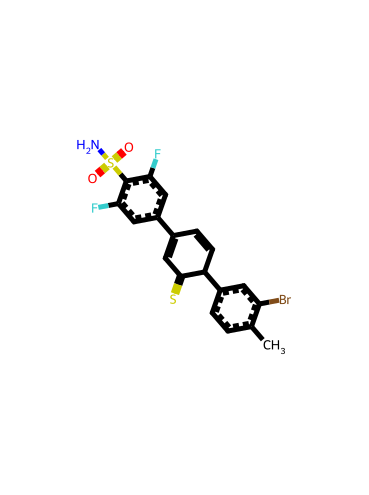 Cc1ccc(C2C=CC(c3cc(F)c(S(N)(=O)=O)c(F)c3)=CC2=S)cc1Br